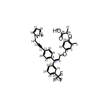 Cc1cc(OC/C=C(\c2ccc(C#CCn3cccn3)cc2)c2cccc(C(F)(F)F)c2)ccc1OC(C)C(=O)O